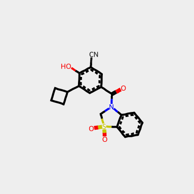 N#Cc1cc(C(=O)N2CS(=O)(=O)c3ccccc32)cc(C2CCC2)c1O